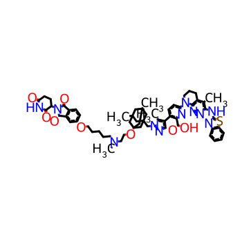 Cc1c(Nc2nc3ccccc3s2)nnc2c1CCCN2c1ccc(-c2cnn(CC34CC5(C)CC(C)(C3)CC(OCCN(C)CCCCCOc3ccc6c(c3)C(=O)N(C3CCC(=O)NC3=O)C6=O)(C5)C4)c2C)c(C(=O)O)n1